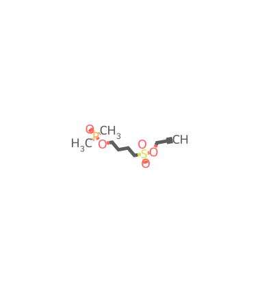 C#CCOS(=O)(=O)CCCCOP(C)(C)=O